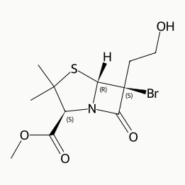 COC(=O)[C@@H]1N2C(=O)[C@@](Br)(CCO)[C@H]2SC1(C)C